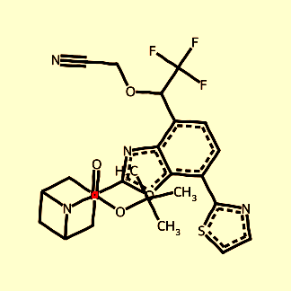 CC(C)(C)OC(=O)N1C2CC1CN(c1nc3c(C(OCC#N)C(F)(F)F)ccc(-c4nccs4)c3o1)C2